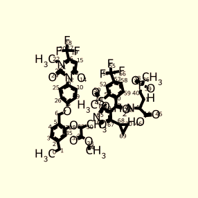 CCc1ccc(COc2ccc(-n3c(=O)cc(C(F)(F)F)n(C)c3=O)cc2)c(OC(C)C(=O)OC)c1.CP(=O)(O)CCC(N)C(=O)O.CS(=O)(=O)c1cc(C(F)(F)F)ccc1C(=O)c1cnoc1C1CC1